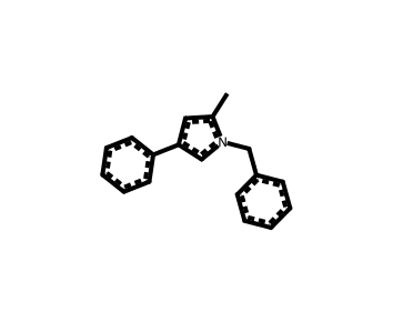 Cc1cc(-c2ccccc2)cn1Cc1ccccc1